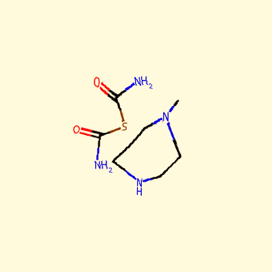 CN1CCNCC1.NC(=O)SC(N)=O